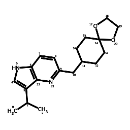 CC(C)c1c[nH]c2ccc(CC3CCC4(CC3)OCCO4)nc12